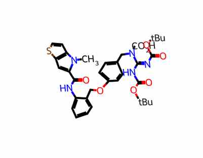 Cn1c(C(=O)Nc2ccccc2COc2ccc(CN(C(=O)O)C(=NC(=O)OC(C)(C)C)NC(=O)OC(C)(C)C)cc2)cc2sccc21